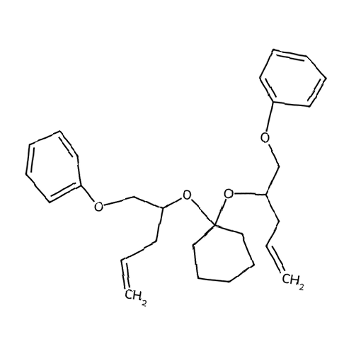 C=CCC(COc1ccccc1)OC1(OC(CC=C)COc2ccccc2)CCCCC1